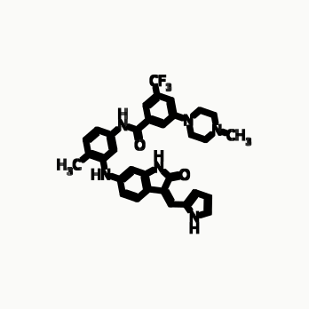 Cc1ccc(NC(=O)c2cc(N3CCN(C)CC3)cc(C(F)(F)F)c2)cc1Nc1ccc2c(c1)NC(=O)/C2=C\c1ccc[nH]1